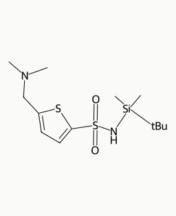 CN(C)Cc1ccc(S(=O)(=O)N[Si](C)(C)C(C)(C)C)s1